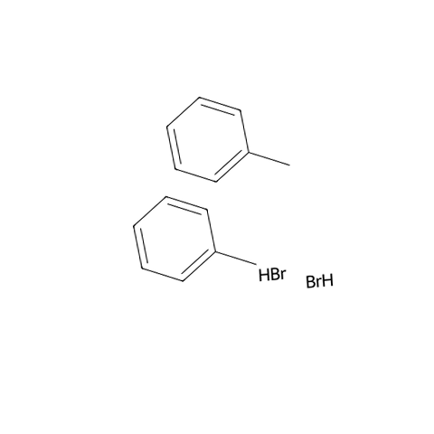 Br.Br.Cc1ccccc1.Cc1ccccc1